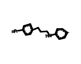 CCCc1ccc(CCCNc2cc[c]cc2)cc1